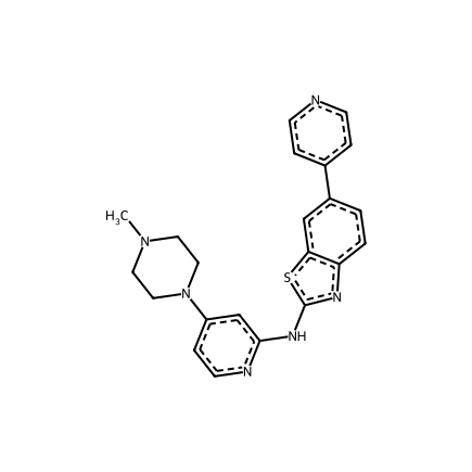 CN1CCN(c2ccnc(Nc3nc4ccc(-c5ccncc5)cc4s3)c2)CC1